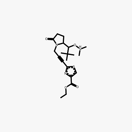 CCOC(=O)c1csc(C#CCN2C(=O)CCC2C(O[SiH](C)C)C(C)(C)C)n1